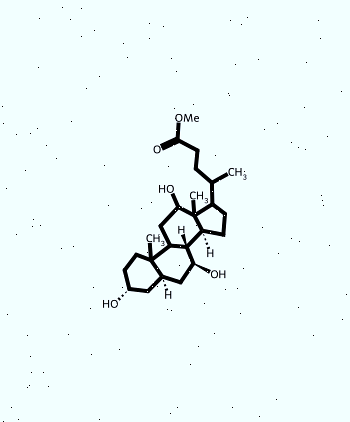 COC(=O)CCC(C)C1CC[C@H]2[C@H]3C(CC(O)C12C)C1(C)CC[C@@H](O)C[C@@H]1C[C@@H]3O